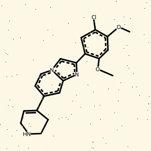 COc1cc(OC)c(-c2cn3ccc(C4=CCNCC4)cc3n2)cc1Cl